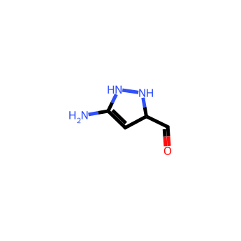 NC1=CC(C=O)NN1